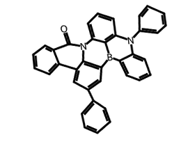 O=c1c2ccccc2c2cc(-c3ccccc3)cc3c2n1-c1cccc2c1B3c1ccccc1N2c1ccccc1